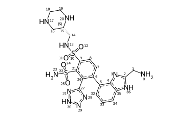 NCc1nc2c(-c3ccc(S(=O)(=O)NC[C@@H]4CNCCN4)c(S(N)(=O)=O)c3-c3nn[nH]n3)cccc2[nH]1